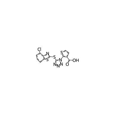 O=C(O)c1ccsc1-n1nnnc1Sc1nc2c(Cl)cccc2s1